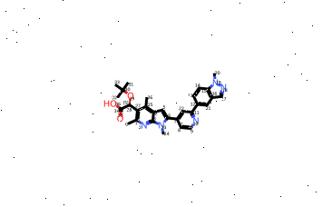 Cc1nc2c(cc(-c3ccnc(-c4ccc5c(cnn5C)c4)c3)n2C)c(C)c1[C@H](OC(C)(C)C)C(=O)O